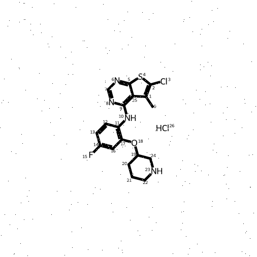 Cc1c(Cl)sc2ncnc(Nc3ccc(F)cc3OC3CCCNC3)c12.Cl